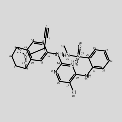 C#CCN1CC2CCC(C1)c1cc(Nc3ncc(Cl)c(Nc4ccccc4S(=O)(=O)NC)n3)ccc12